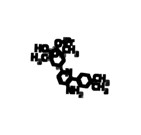 CC(C)O[C@H]1[C@@H](O)[C@]2(C)C[C@@H](c3ccc(N)c(C4=CCC(C)(C)CC4)n3)C[C@@]1(C)O2